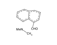 CNC.O=Cc1cccc2ccccc12